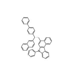 c1ccc(-c2ccc([C@H](Cc3cc4c(c5ccccc35)c3ccccc3n4-c3ccccc3)c3ccc4ccccc4c3)cc2)cc1